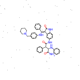 NC(=O)C(Nc1ccccc1)C(C(=O)Nc1ccc2c(c1)C(=C(Nc1ccc(CN3CCCCC3)cc1)c1ccccc1)C(=O)N2)c1ccccc1